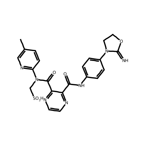 Cc1ccc(N(CS(=O)(=O)O)C(=O)c2nccnc2C(=O)Nc2ccc(N3CCOC3=N)cc2)nc1